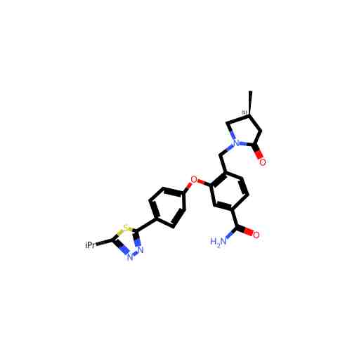 CC(C)c1nnc(-c2ccc(Oc3cc(C(N)=O)ccc3CN3C[C@@H](C)CC3=O)cc2)s1